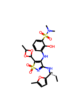 CC[C@@H](NC1=NS(=O)(=O)C(C2OC(C)O2)=C1Nc1cccc(S(=O)(=O)N(C)C)c1O)c1ccc(C)o1